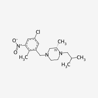 C[C](C)CN1CCN(Cc2cc(Cl)cc([N+](=O)[O-])c2C)C[C@@H]1C